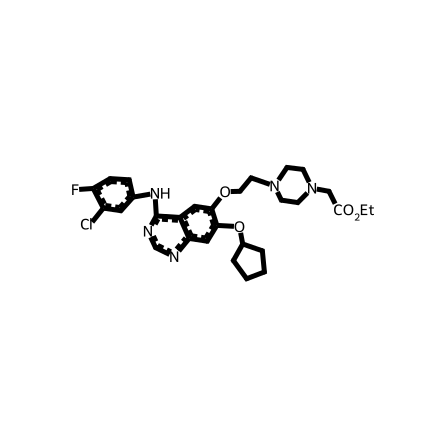 CCOC(=O)CN1CCN(CCOc2cc3c(Nc4ccc(F)c(Cl)c4)ncnc3cc2OC2CCCC2)CC1